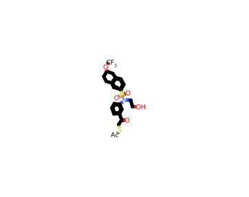 CC(=O)SCC(=O)c1cccc(N(CCO)S(=O)(=O)c2ccc3c(c2)CCC(OC(F)(F)F)C3)c1